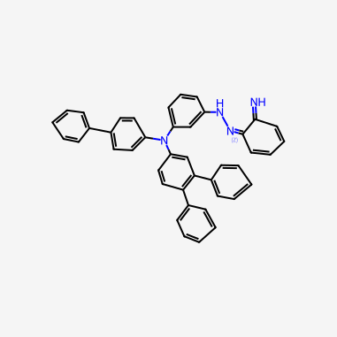 N=C1C=CC=C/C1=N/Nc1cccc(N(c2ccc(-c3ccccc3)cc2)c2ccc(-c3ccccc3)c(-c3ccccc3)c2)c1